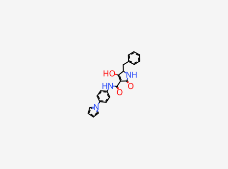 O=C(Nc1ccc(-n2cccc2)cc1)C1=C(O)C(Cc2ccccc2)NC1=O